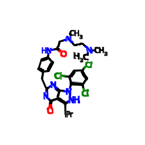 CC(C)c1[nH]n(-c2c(Cl)cc(Cl)cc2Cl)c2nc(Cc3ccc(NC(=O)CN(C)CCN(C)C)cc3)nc(=O)c1-2